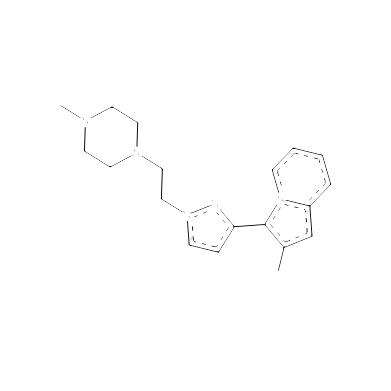 CCOC(=O)c1cc2ccccn2c1-c1ccn(CCN2CCN(C)CC2)n1